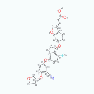 COC(=O)CC[C@@H]1COc2cc(O[C@@H]3CCc4c(Oc5ccc(O[C@@H]6CCOC6)c(C#N)c5)ccc(F)c43)ccc21